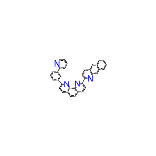 c1ccc(-c2cccc(-c3ccc4ccc5ccc(-c6ccc7cc8ccccc8cc7n6)nc5c4n3)c2)nc1